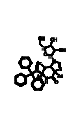 CC(=O)N1C2N([C@@H]3O[C@H](CO)C(O)C3O)C=NC2(C(C)=O)C(=O)NC1(NC(c1ccccc1)(c1ccccc1)c1ccccc1)C(C)=O